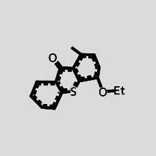 CCOc1ccc(C)c2c(=O)c3ccccc3sc12